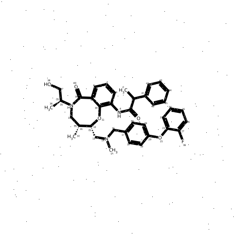 CC(C(=O)Nc1cccc2c1O[C@H](CN(C)Cc1ccc(Oc3ccccc3F)cc1)[C@H](C)CN([C@@H](C)CO)C2=O)c1ccccc1